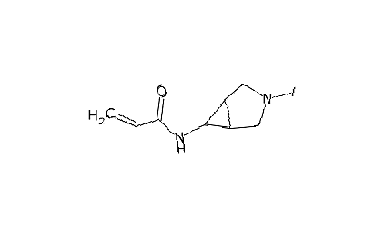 C=CC(=O)NC1C2CN(I)CC21